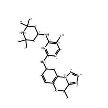 CC1OC2=C(CC(Nc3ncc(F)c(NC4CC(C)(C)NC(C)(C)C4)n3)C=C2)n2nnnc21